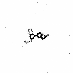 [2H]c1ccc2cc(-c3cc(OC)cc(OC)c3)ccc2n1